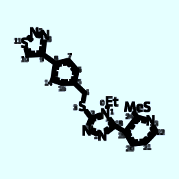 CCn1c(SCc2ccc(-c3csnn3)cc2)nnc1-c1cccnc1SC